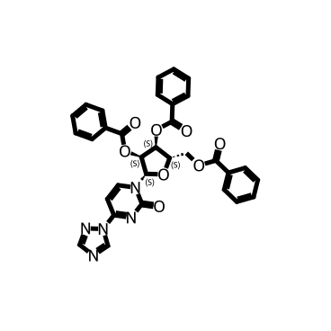 O=C(OC[C@@H]1O[C@H](n2ccc(-n3cncn3)nc2=O)[C@@H](OC(=O)c2ccccc2)[C@H]1OC(=O)c1ccccc1)c1ccccc1